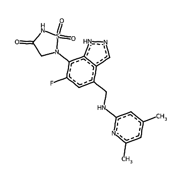 Cc1cc(C)nc(NCc2cc(F)c(N3CC(=O)NS3(=O)=O)c3[nH]ncc23)c1